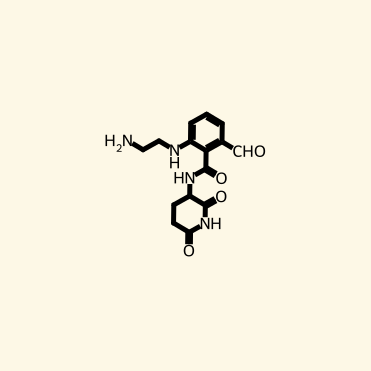 NCCNc1cccc(C=O)c1C(=O)NC1CCC(=O)NC1=O